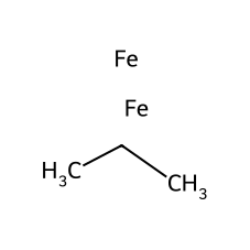 CCC.[Fe].[Fe]